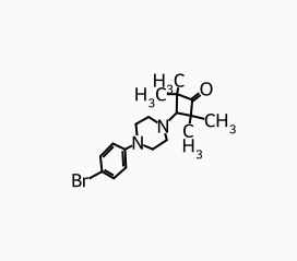 CC1(C)C(=O)C(C)(C)C1N1CCN(c2ccc(Br)cc2)CC1